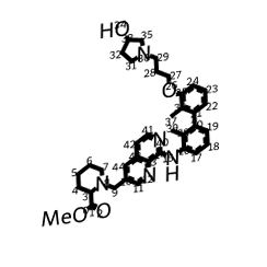 COC(=O)C1CCCCN1Cc1cnc2c(Nc3cccc(-c4cccc(OCCCN5CCC(O)C5)c4C)c3C)nccc2c1